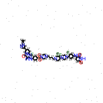 Cc1c(Nc2ccc(S(=O)(=O)N3CCN(CCCCN4CCC(N5CCN(c6ccc(NC7CCC(=O)NC7=O)cc6F)CC5)C(F)(F)C4)CC3)cc2F)nc2ccc(-c3cnn(C4CC4)c3)cn2c1=O